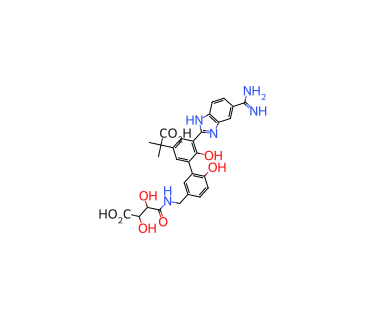 CC(C)(C(=O)O)c1cc(-c2nc3cc(C(=N)N)ccc3[nH]2)c(O)c(-c2cc(CNC(=O)C(O)C(O)C(=O)O)ccc2O)c1